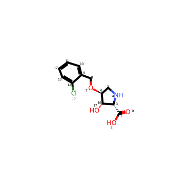 O=C(O)[C@H]1NC[C@H](OCc2ccccc2Cl)[C@H]1O